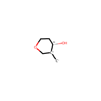 [CH2-][C+]1COCC[C@@H]1O